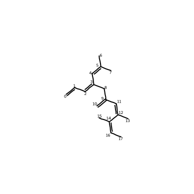 C=C/C=C(\C=C(C)C)CC(=C)/C=C(C)\C(C)=C/C